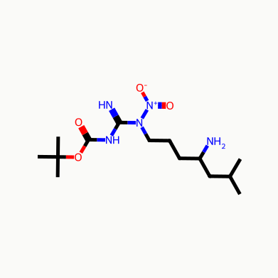 CC(C)CC(N)CCCN(C(=N)NC(=O)OC(C)(C)C)[N+](=O)[O-]